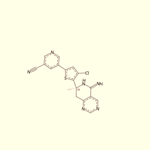 C[C@@]1(c2sc(-c3cncc(C#N)c3)cc2Cl)Cc2ncncc2C(=N)N1